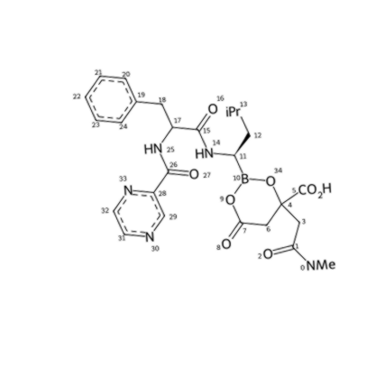 CNC(=O)CC1(C(=O)O)CC(=O)OB([C@H](CC(C)C)NC(=O)C(Cc2ccccc2)NC(=O)c2cnccn2)O1